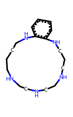 c1ccc2c(c1)NCCCCNCCNCCNCCCN2